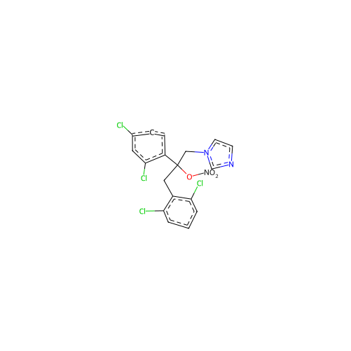 O=[N+]([O-])OC(Cc1c(Cl)cccc1Cl)(Cn1ccnc1)c1ccc(Cl)cc1Cl